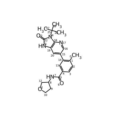 Cc1ccc(C(=O)NC2CCOC2)cc1-c1cnc2c(c1)[nH]c(=O)n2C(C)(C)C